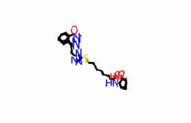 Cn1c(Cc2nn(C)c(=O)c3ccccc23)nnc1SCCCCCCCC(=O)Nc1ccccc1O